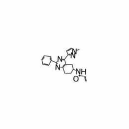 C=CC(=O)NC1CCc2nc(-c3ccccc3)nc(-c3ccn(C)n3)c2C1